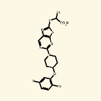 CCC(Oc1nc2cnc(N3CCC(Oc4cc(F)ccc4Br)CC3)nc2s1)C(=O)O